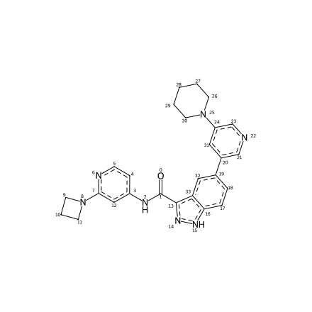 O=C(Nc1ccnc(N2CCC2)c1)c1n[nH]c2ccc(-c3cncc(N4CCCCC4)c3)cc12